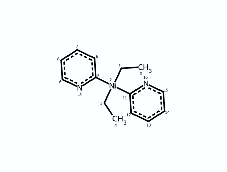 C[CH2][Ni]([CH2]C)([c]1ccccn1)[c]1ccccn1